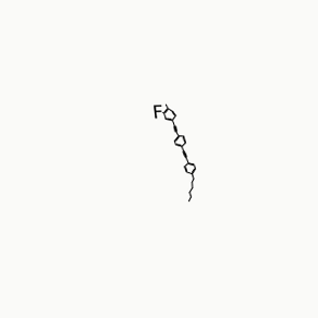 CCCCCCc1ccc(C#Cc2ccc(C#Cc3ccc(C)c(F)c3)cc2)cc1